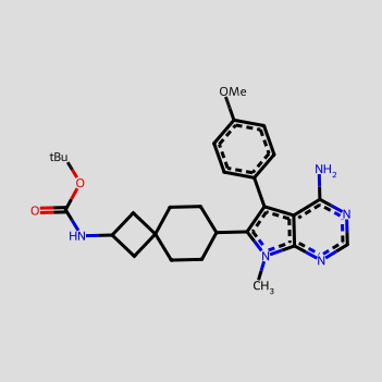 COc1ccc(-c2c(C3CCC4(CC3)CC(NC(=O)OC(C)(C)C)C4)n(C)c3ncnc(N)c23)cc1